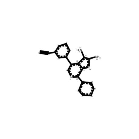 C#Cc1cccc(-c2cnc(-c3ccccc3)c3oc(N)c(N)c23)c1